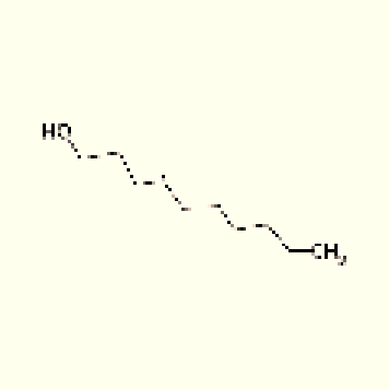 CCCCCC[CH]CCCO